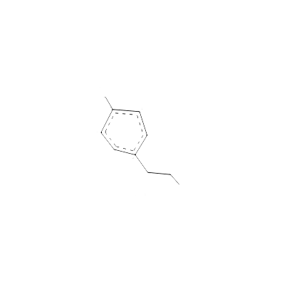 C[C@@H](CO)c1ccc(I)cc1